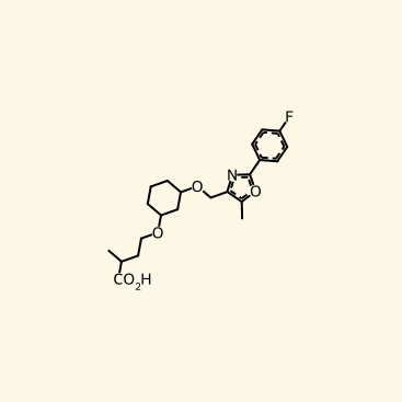 Cc1oc(-c2ccc(F)cc2)nc1COC1CCCC(OCCC(C)C(=O)O)C1